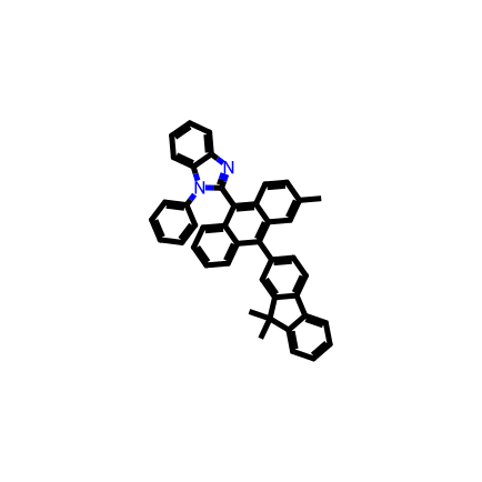 Cc1ccc2c(-c3nc4ccccc4n3-c3ccccc3)c3ccccc3c(-c3ccc4c(c3)C(C)(C)c3ccccc3-4)c2c1